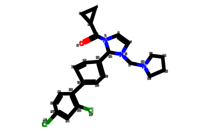 O=C(C1CC1)N1C=CN(CN2CCCC2)C1c1ccc(-c2ccc(Cl)cc2Cl)cc1